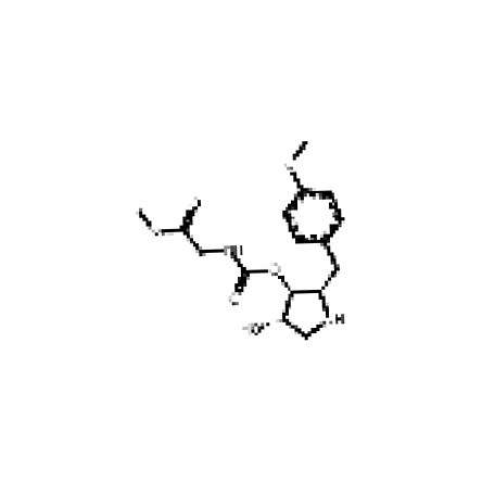 CNC(=O)CNC(=O)O[C@@H]1[C@@H](O)CN[C@@H]1Cc1ccc(OC)cc1